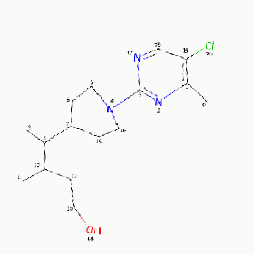 Cc1nc(N2CCC(C(C)C(C)CCO)CC2)ncc1Cl